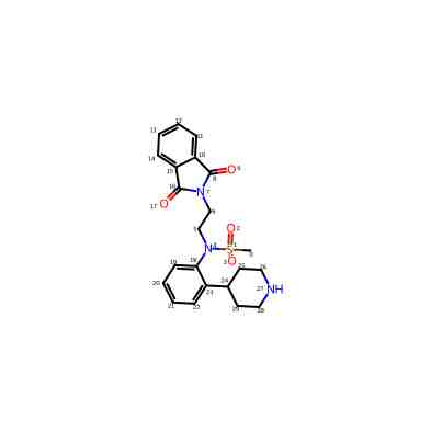 CS(=O)(=O)N(CCN1C(=O)c2ccccc2C1=O)c1ccccc1C1CCNCC1